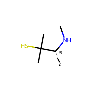 CN[C@H](C)C(C)(C)S